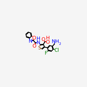 NCc1cc(-c2csc(NC(=O)c3nc4ccccc4o3)c2C(=O)O)c(F)cc1Cl